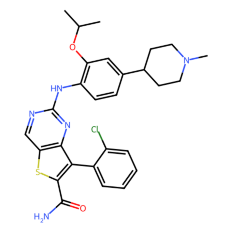 CC(C)Oc1cc(C2CCN(C)CC2)ccc1Nc1ncc2sc(C(N)=O)c(-c3ccccc3Cl)c2n1